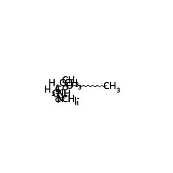 CCCCCCCCCCCCCCCCOc1ccc(C(C)NC(=O)c2cccc[n+]2CC)cc1C(C)(C)C.[I-]